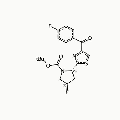 CC(C)(C)OC(=O)N1C[C@H](F)C[C@H]1c1nc(C(=O)c2ccc(F)cc2)cs1